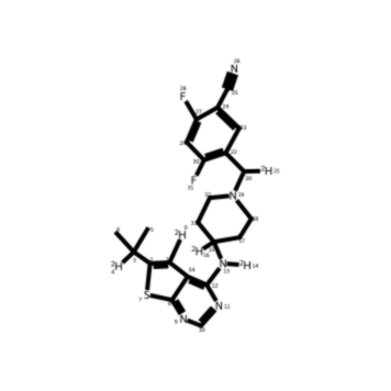 [2H]c1c(C([2H])(C)C)sc2ncnc(N([2H])C3([2H])CCN(C([2H])c4cc(C#N)c(F)cc4F)CC3)c12